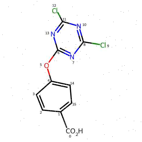 O=C(O)c1ccc(Oc2nc(Cl)nc(Cl)n2)cc1